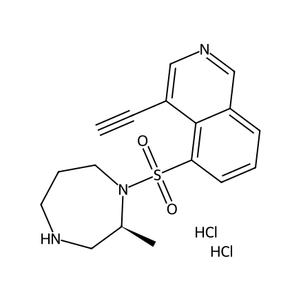 C#Cc1cncc2cccc(S(=O)(=O)N3CCCNC[C@@H]3C)c12.Cl.Cl